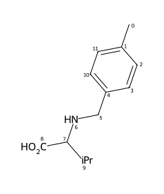 Cc1ccc(CNC(C(=O)O)C(C)C)cc1